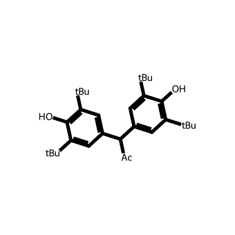 CC(=O)C(c1cc(C(C)(C)C)c(O)c(C(C)(C)C)c1)c1cc(C(C)(C)C)c(O)c(C(C)(C)C)c1